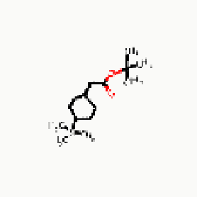 CC(C)(C)OC(=O)CC1CCC([Si](C)(C)C)CC1